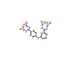 c1cc(Cc2ccc(N(CC3CO3)CC3CO3)cc2)cc(N(CC2CO2)CC2CO2)c1